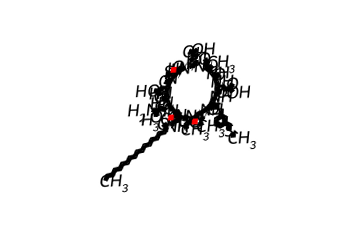 CCCCCCCCCCCCCCCCCC(=O)N[C@@H](CC)CN1C(=O)N[C@@H](CCC(N)=O)NC(=O)N[C@@H](CC(=O)O)C(=O)N2CSC[C@H]2C(=O)N[C@H](CCC(=O)O)C(=O)NC([C@@H](C)O)C(=O)NC(=O)N[C@@H](CCC(=O)O)C(=O)N[C@H](CSCc2cccc(CSCC)c2)C(=O)N[C@@H](CC(C)C)C(=O)N(CCC)C1=O